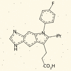 CC(C)c1c(CCC(=O)O)c2cc3[nH]cnc3cc2n1-c1ccc(F)cc1